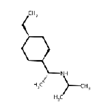 CC[C@H]1CC[C@@H]([C@@H](C)NC(C)C)CC1